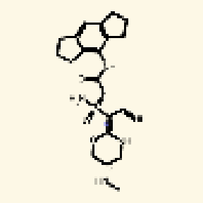 CN[C@H]1CN/C(=C(\C=N)S(N)(=O)=NC(=O)Nc2c3c(cc4c2CCC4)CCC3)OC1